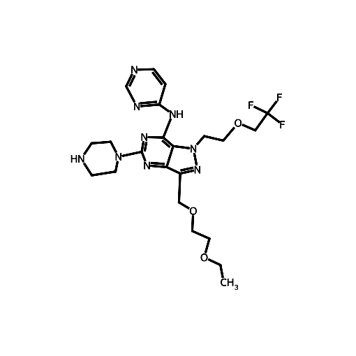 CCOCCOCc1nn(CCOCC(F)(F)F)c2c(Nc3ccncn3)nc(N3CCNCC3)nc12